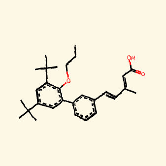 CCCOc1c(-c2cccc(C=CC(C)=CC(=O)O)c2)cc(C(C)(C)C)cc1C(C)(C)C